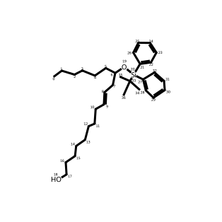 CCCCCCC(CC=CCCCCCCCCO)O[Si](c1ccccc1)(c1ccccc1)C(C)(C)C